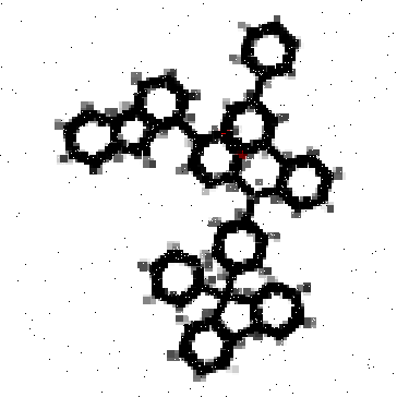 c1ccc(-c2cccc(-c3ccccc3N(c3ccc(-c4cccc5c4oc4ccccc45)cc3)c3ccc(C4(c5ccccc5)c5ccccc5-c5ccccc54)cc3)c2)cc1